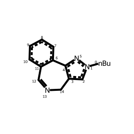 CCCCn1cc2c(n1)-c1ccccc1C=NC2